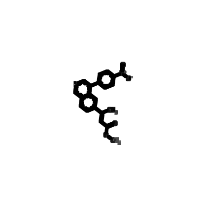 COC(=O)/C=C(\C)c1ccc2cncc(-c3ccc([N+](=O)[O-])cc3)c2c1